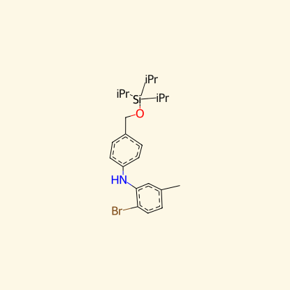 Cc1ccc(Br)c(Nc2ccc(CO[Si](C(C)C)(C(C)C)C(C)C)cc2)c1